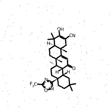 CC1(C)CC[C@]2(c3noc(C(F)(F)F)n3)CC[C@]3(C)[C@H](C(=O)C=C4[C@@]5(C)CC(C#N)=C(O)C(C)(C)[C@@H]5CC[C@]43C)[C@@H]2C1